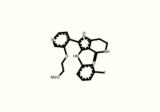 COCCOc1cnccc1-c1[nH]c2c(c1Nc1cccc(F)c1)C(=O)NCC2